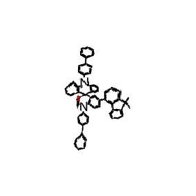 CC1(C)c2ccccc2-c2c(-c3ccc4c(c3)C3(c5ccccc5N(c5ccc(-c6ccccc6)cc5)c5ccccc53)c3ccccc3N4c3ccc(-c4ccccc4)cc3)cccc21